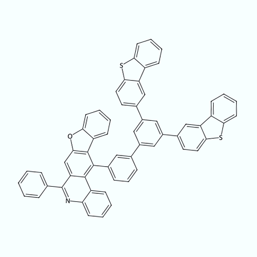 c1ccc(-c2nc3ccccc3c3c(-c4cccc(-c5cc(-c6ccc7sc8ccccc8c7c6)cc(-c6ccc7sc8ccccc8c7c6)c5)c4)c4c(cc23)oc2ccccc24)cc1